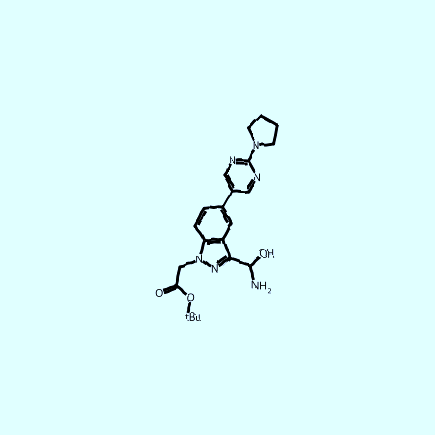 CC(C)(C)OC(=O)Cn1nc(C(N)O)c2cc(-c3cnc(N4CCCC4)nc3)ccc21